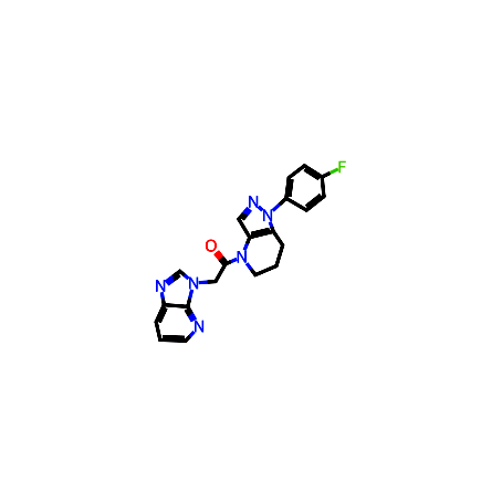 O=C(Cn1cnc2cccnc21)N1CCCc2c1cnn2-c1ccc(F)cc1